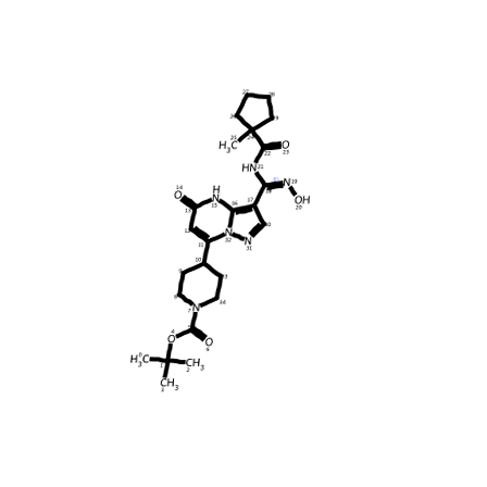 CC(C)(C)OC(=O)N1CCC(c2cc(=O)[nH]c3c(/C(=N\O)NC(=O)C4(C)CCCC4)cnn23)CC1